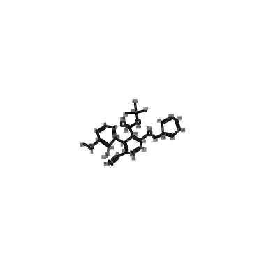 COc1cccc(-c2c(C#N)ncc(OCc3ccccc3)c2C(=O)OC(C)(C)C)c1F